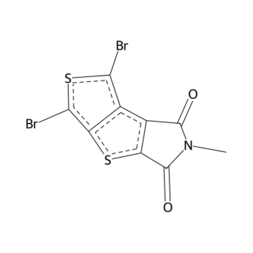 CN1C(=O)c2sc3c(Br)sc(Br)c3c2C1=O